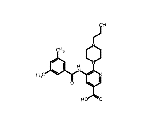 Cc1cc(C)cc(C(=O)Nc2cc(C(=O)O)cnc2N2CCN(CCO)CC2)c1